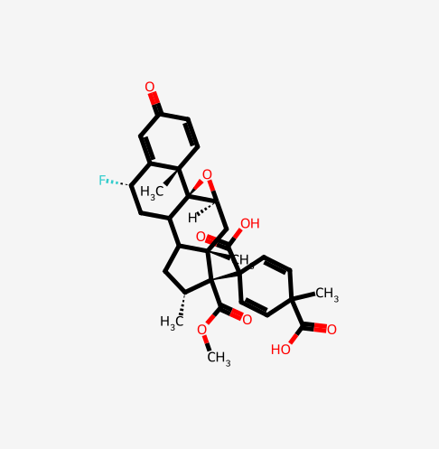 COC(=O)[C@]1(C2(C(=O)O)C=CC(C)(C(=O)O)C=C2)[C@H](C)CC2C3C[C@H](F)C4=CC(=O)C=C[C@]4(C)[C@@]34O[C@H]4C[C@@]21C